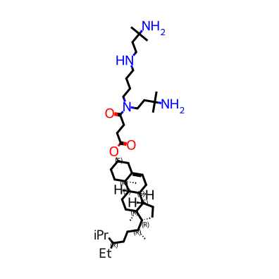 CC[C@H](CC[C@@H](C)[C@H]1CC[C@H]2[C@@H]3CC=C4C[C@@H](OC(=O)CCC(=O)N(CCCCNCCC(C)(C)N)CCC(C)(C)N)CC[C@]4(C)[C@H]3CC[C@]12C)C(C)C